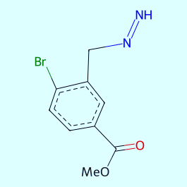 COC(=O)c1ccc(Br)c(CN=N)c1